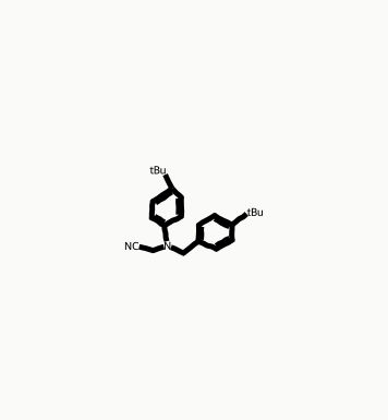 CC(C)(C)c1ccc(CN(CC#N)c2ccc(C(C)(C)C)cc2)cc1